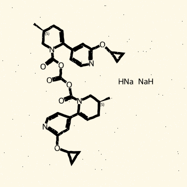 C[C@H]1CC=C(c2ccnc(OC3CC3)c2)N(C(=O)OC(=O)OC(=O)N2C[C@@H](C)CC=C2c2ccnc(OC3CC3)c2)C1.[NaH].[NaH]